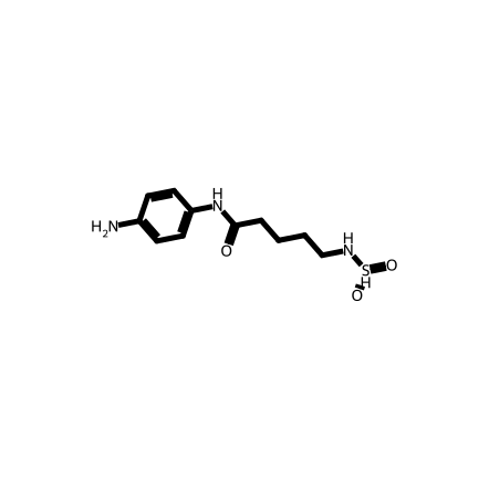 Nc1ccc(NC(=O)CCCCN[SH](=O)=O)cc1